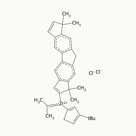 C[C](C)=[Zr+2]([C]1=CC(C(C)(C)C)=CC1)[C]1=Cc2cc3c(cc2C1(C)C)Cc1cc2c(cc1-3)C=CC2(C)C.[Cl-].[Cl-]